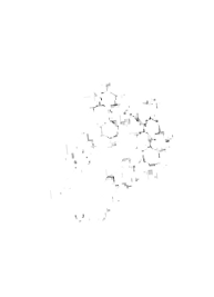 C=CCOC(=O)C(C)(C)OC(=O)c1cc(-n2c(=O)cc(C(F)(F)F)[nH]c2=O)c(F)cc1Br.COCCOC(=O)C(C)(C)OC(=O)c1cc(-n2c(=O)cc(C(F)F)n(N)c2=O)c(F)cc1Br